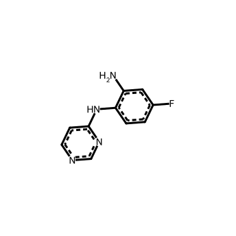 Nc1cc(F)ccc1Nc1ccncn1